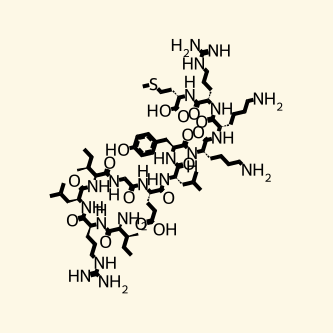 CC[C@H](C)[C@H](N)C(=O)N[C@@H](CCCNC(=N)N)C(=O)N[C@@H](CC(C)C)C(=O)N[C@H](C(=O)NCC(=O)N[C@@H](CCC(=O)O)C(=O)N[C@@H](CC(C)C)C(=O)N[C@@H](Cc1ccc(O)cc1)C(=O)N[C@@H](CCCCN)C(=O)N[C@@H](CCCCN)C(=O)N[C@@H](CCCNC(=N)N)C(=O)N[C@@H](CCSC)C(=O)O)[C@@H](C)CC